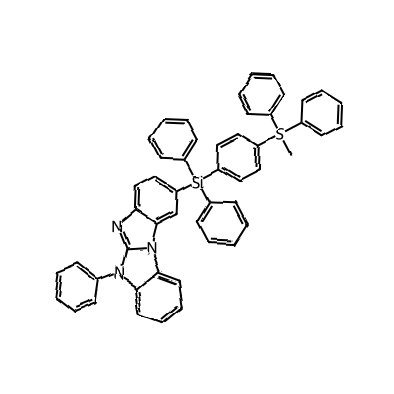 CS(c1ccccc1)(c1ccccc1)c1ccc([Si](c2ccccc2)(c2ccccc2)c2ccc3nc4n(-c5ccccc5)c5ccccc5n4c3c2)cc1